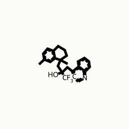 Cc1ccc2c(c1)C(C)(CC(O)(Cc1ccnc3ccccc13)C(F)(F)F)CCC2